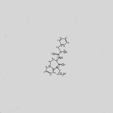 O=C(O)CN1C(=O)C(NC(=O)C(S)Cc2ccccc2)CCC2CC=CC=C21